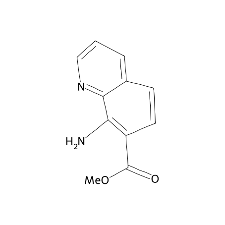 COC(=O)c1ccc2cccnc2c1N